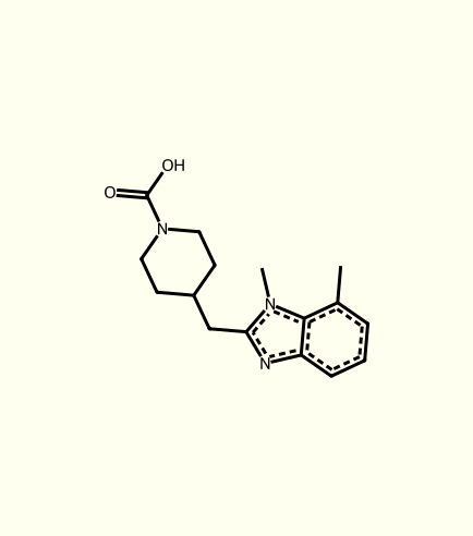 Cc1cccc2nc(CC3CCN(C(=O)O)CC3)n(C)c12